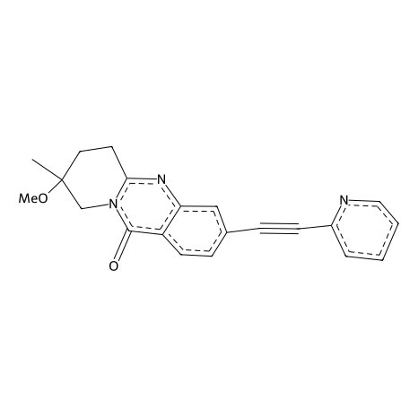 COC1(C)CCc2nc3cc(C#Cc4ccccn4)ccc3c(=O)n2C1